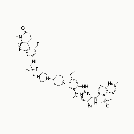 CCc1cc(Nc2ncc(Br)c(Nc3ccc4nc(C)ccc4c3P(C)(C)=O)n2)c(OC)cc1N1CCC(N2CCN(CC(F)(F)CNc3cc(F)c(C4CCC(=O)NC4=O)c(F)c3)CC2)CC1